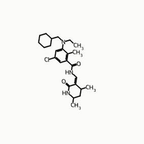 CCN(CC1CCCCC1)c1cc(Cl)cc(C(=O)N/C=C2\C(=O)NC(C)CC2C)c1C